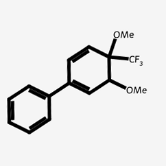 COC1C=C(c2ccccc2)C=CC1(OC)C(F)(F)F